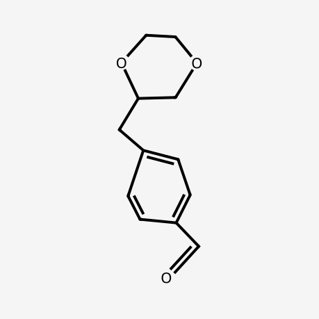 O=Cc1ccc(CC2COCCO2)cc1